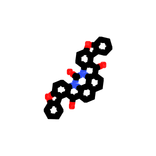 O=c1c2ccc3ccc4c(=O)c5c6c(ccc5n5c(=O)n(c7ccc8oc9ccccc9c8c17)c2c3c45)oc1ccccc16